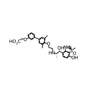 Cc1cc(-c2cccc(OCC(=O)O)c2)cc(C)c1OCCN[C@@H](C)[C@H](O)c1ccc(O)c(S(C)(=O)=O)c1N